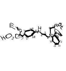 CCCC1CN(CCCNc2ccc(C[C@H](OCC)C(=O)O)cc2)c2ccccc2O1